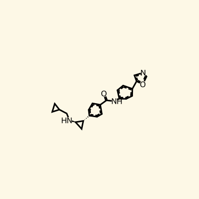 O=C(Nc1ccc(-c2cnco2)cc1)c1ccc([C@@H]2C[C@H]2NCC2CC2)cc1